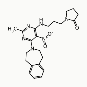 Cc1nc(NCCCN2CCCC2=O)c([N+](=O)[O-])c(N2CCc3ccccc3CC2)n1